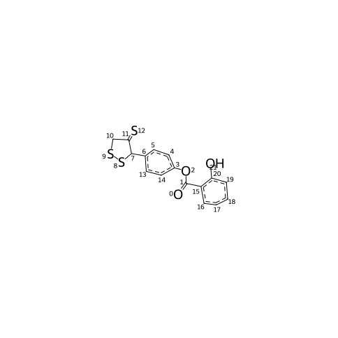 O=C(Oc1ccc(C2SSCC2=S)cc1)c1ccccc1O